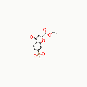 CCOC(=O)c1cc(=O)c2ccc(S(C)(=O)=O)cc2o1